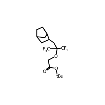 CC(C)(C)OC(=O)COC(CC1CC2CCC1C2)(C(F)(F)F)C(F)(F)F